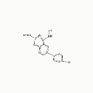 CCCNc1nc(NC(C)=O)nc2ccc(-c3ccc(Cl)cc3)cc12